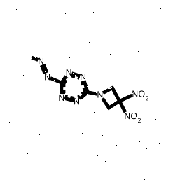 CN=Nc1nnc(N2CC([N+](=O)[O-])([N+](=O)[O-])C2)nn1